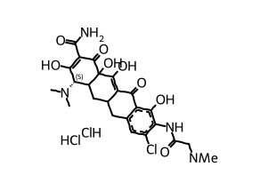 CNCC(=O)Nc1c(Cl)cc2c(c1O)C(=O)C1=C(O)C3(O)C(=O)C(C(N)=O)=C(O)[C@@H](N(C)C)C3CC1C2.Cl.Cl